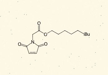 CCC(C)CCCCCOC(=O)CN1C(=O)C=CC1=O